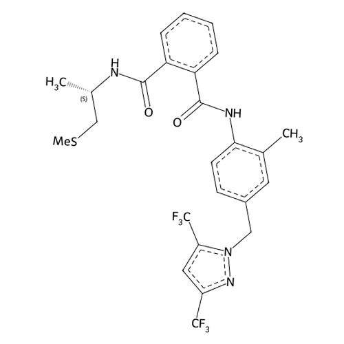 CSC[C@H](C)NC(=O)c1ccccc1C(=O)Nc1ccc(Cn2nc(C(F)(F)F)cc2C(F)(F)F)cc1C